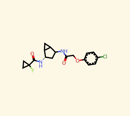 O=C(COc1ccc(Cl)cc1)NC1C[C@H](NC(=O)C2(F)CC2)C2CC12